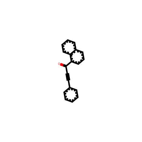 O=C(C#Cc1ccccc1)c1cccc2ccccc12